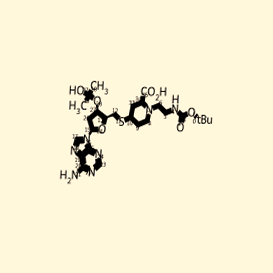 CC(C)(C)OC(=O)NCCN1CCC(SC[C@H]2O[C@@H](n3cnc4c(N)ncnc43)C[C@H]2OC(C)(C)O)CC1C(=O)O